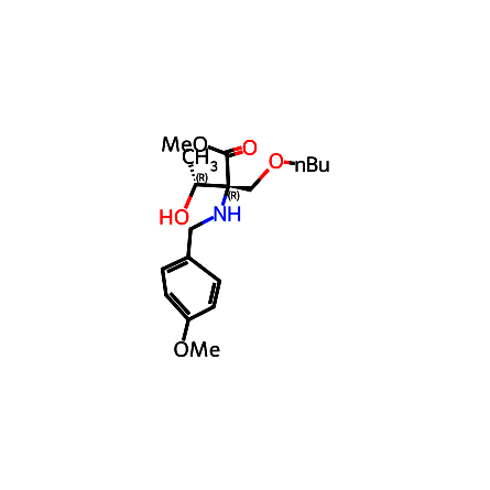 CCCCOC[C@](NCc1ccc(OC)cc1)(C(=O)OC)[C@@H](C)O